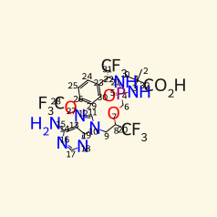 CC(C)(NP(=O)(COC(Cn1cnc2c(N)ncnc21)C(F)(F)F)N[C@H](c1ccc(OC(F)(F)F)cc1)C(F)(F)F)C(=O)O